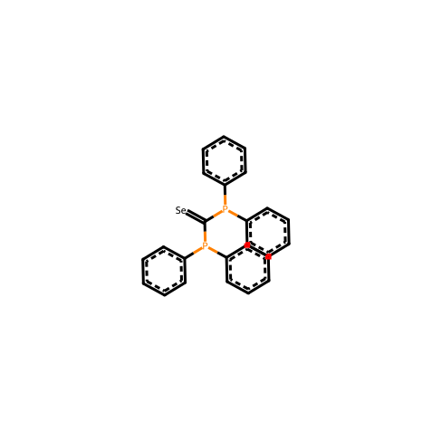 [Se]=C(P(c1ccccc1)c1ccccc1)P(c1ccccc1)c1ccccc1